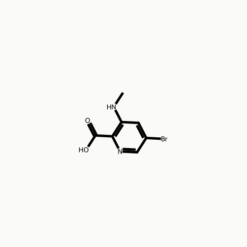 CNc1cc(Br)cnc1C(=O)O